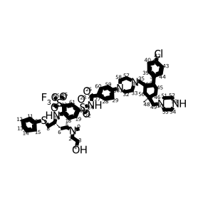 CN(CCO)CC[C@H](CSc1ccccc1)Nc1ccc(S(=O)(=O)NC(=O)c2ccc(N3CCN(CC4=C(c5ccc(Cl)cc5)CC[C@@](C)(CN5CCNCC5)C4)CC3)cc2)cc1S(=O)(=O)C(F)(F)F